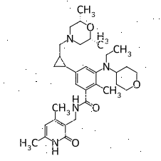 CCN(c1cc(C2CC2CN2C[C@@H](C)O[C@@H](C)C2)cc(C(=O)NCc2c(C)cc(C)[nH]c2=O)c1C)C1CCOCC1